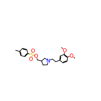 COc1ccc(CCN2CCC(COS(=O)(=O)c3ccc(C)cc3)C2)cc1OC